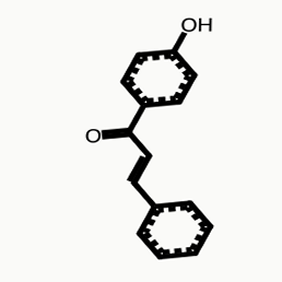 O=C(C=Cc1ccccc1)c1ccc(O)cc1